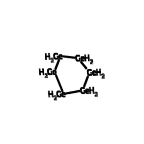 [GeH2]1[GeH2][GeH2][GeH2][GeH2][GeH2]1